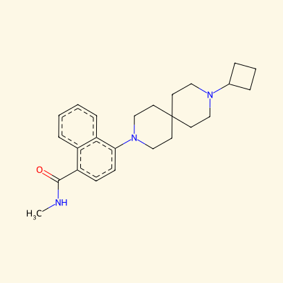 CNC(=O)c1ccc(N2CCC3(CC2)CCN(C2CCC2)CC3)c2ccccc12